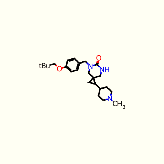 CN1CCC(C2CC23CNC(=O)N(Cc2ccc(OCC(C)(C)C)cc2)C3)CC1